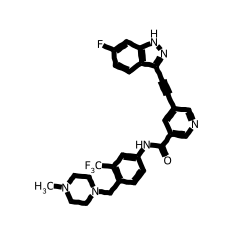 CN1CCN(Cc2ccc(NC(=O)c3cncc(C#Cc4n[nH]c5cc(F)ccc45)c3)cc2C(F)(F)F)CC1